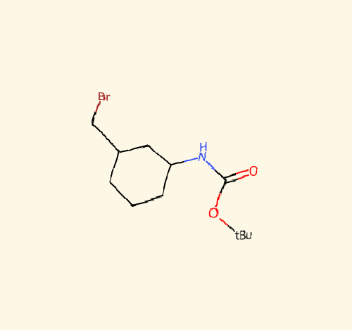 CC(C)(C)OC(=O)NC1CCCC(CBr)C1